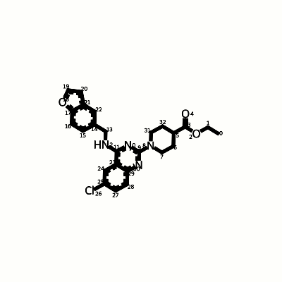 CCOC(=O)C1CCN(c2nc(NCc3ccc4occc4c3)c3cc(Cl)ccc3n2)CC1